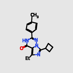 CCc1nc(C2CCC2)n2nc(-c3ccc(C)cc3)[nH]c(=O)c12